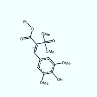 COc1cc(/C=C(/C(=O)OC(C)C)P(=O)(OC)OC)cc(OC)c1O